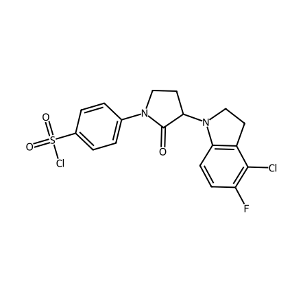 O=C1C(N2CCc3c2ccc(F)c3Cl)CCN1c1ccc(S(=O)(=O)Cl)cc1